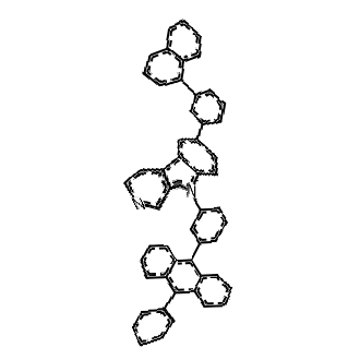 c1ccc(-c2c3ccccc3c(-c3cccc(-n4c5ccc(-c6cccc(-c7cccc8ccccc78)c6)cc5c5ccncc54)c3)c3ccccc23)cc1